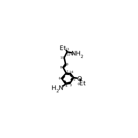 CCOc1cc(N)cc(C=CCC(N)CC)c1